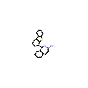 NC1=C=Cc2ccccc2C(c2cccc3c2sc2ccccc23)=N1